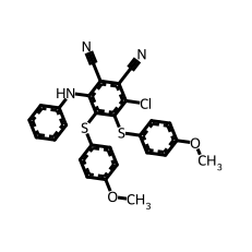 COc1ccc(Sc2c(Cl)c(C#N)c(C#N)c(Nc3ccccc3)c2Sc2ccc(OC)cc2)cc1